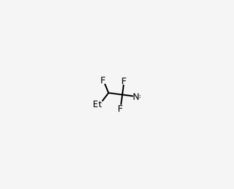 CCC(F)C([N])(F)F